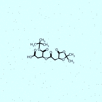 CC(C)(C)OC(=O)C(CC(=O)O)OC(=O)C[C@@H]1OC(C)(C)OC1=O